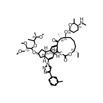 CC[C@H]1CCC[C@H](O[C@H]2CC[C@H](NC)C(C)O2)[C@@H](C)C(=O)C2=C[C@@H]3[C@@H](C=C(n4cc(-c5cccc(C)c5)nn4)[C@@H]4C[C@@H](OC(OC(C)[C@@H](C)OC)[C@H](COC)OC)C[C@@H]34)[C@@H]2CC(=O)O1